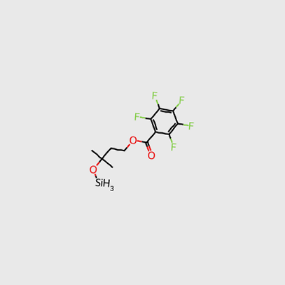 CC(C)(CCOC(=O)c1c(F)c(F)c(F)c(F)c1F)O[SiH3]